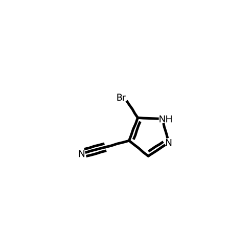 N#Cc1cn[nH]c1Br